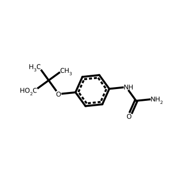 CC(C)(Oc1ccc(NC(N)=O)cc1)C(=O)O